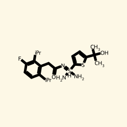 CC(C)c1ccc(F)c(C(C)C)c1CC(=O)N=[SH](N)(N)c1ccc(C(C)(C)O)s1